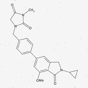 COc1cc(-c2ccc(CN3CC(=O)N(C)C3=O)cc2)cc2c1C(=O)N(C1CC1)C2